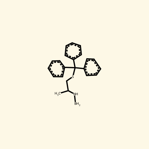 BNC(C)CSC(c1ccccc1)(c1ccccc1)c1ccccc1